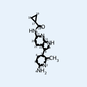 Cc1nc(N)ccc1-c1c[nH]c2nc(NC(=O)C3CC3)ccc12